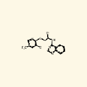 CCC(COc1ncc(C(F)(F)F)cc1Cl)Nc1ncnc2ccccc12